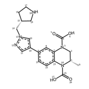 C[C@H]1CN(C(=O)O)c2cc(-c3cnn(C[C@@H]4CCNC4)c3)ccc2N1C(=O)O